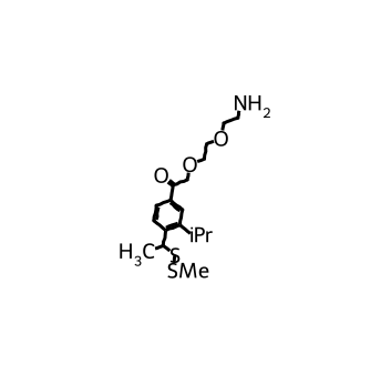 CSSC(C)c1ccc(C(=O)COCCOCCN)cc1C(C)C